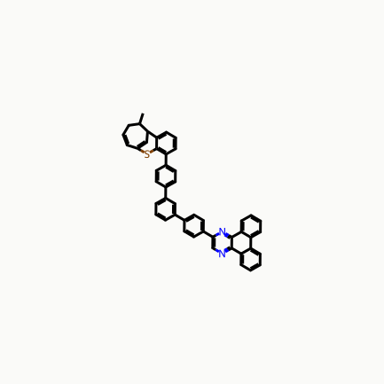 CC1CC=CC2=CC1c1cccc(-c3ccc(-c4cccc(-c5ccc(-c6cnc7c8ccccc8c8ccccc8c7n6)cc5)c4)cc3)c1S2